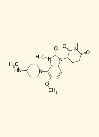 CNC1CCN(c2c(OC)ccc3c2n(C)c(=O)n3C2CCC(=O)NC2=O)CC1